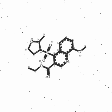 CCOC(=O)c1cnc2c(OC)cccc2c1S(=O)(=O)C1CCOC1C